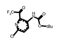 CC(C)(C)OC(=O)Nc1ccc(Cl)nc1C(=O)C(F)(F)F